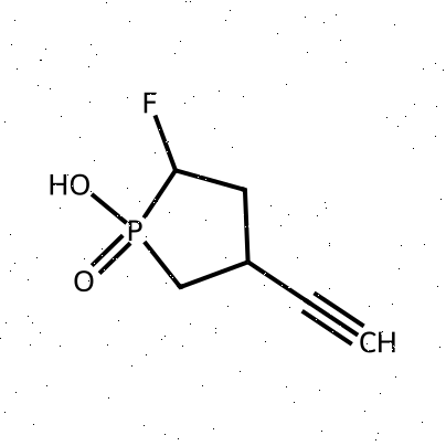 C#CC1CC(F)P(=O)(O)C1